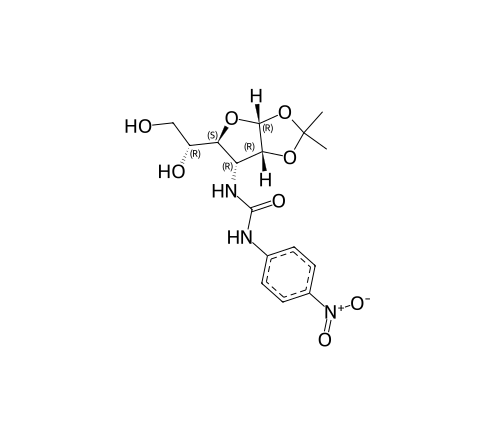 CC1(C)O[C@H]2O[C@H]([C@H](O)CO)[C@@H](NC(=O)Nc3ccc([N+](=O)[O-])cc3)[C@H]2O1